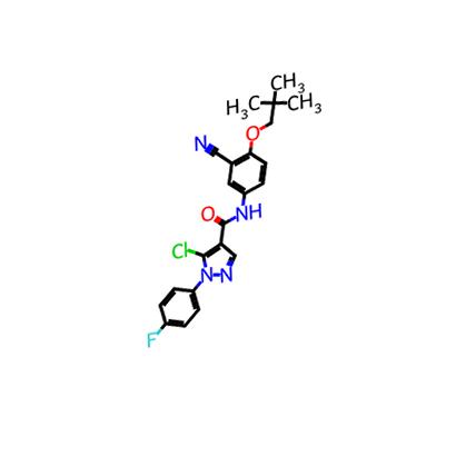 CC(C)(C)COc1ccc(NC(=O)c2cnn(-c3ccc(F)cc3)c2Cl)cc1C#N